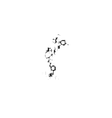 O=C(N[C@H]1CCC[C@H]2CC[C@@H](C(=O)N3CC(c4cnccc4N4CCCC4=O)C3)N2C1=O)c1cc2cc(CP(=O)(O)O)ccc2s1